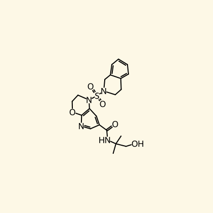 CC(C)(CO)NC(=O)c1cnc2c(c1)N(S(=O)(=O)N1CCc3ccccc3C1)CCO2